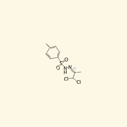 C/C(=N/NS(=O)(=O)c1ccc(C)cc1)C(Cl)Cl